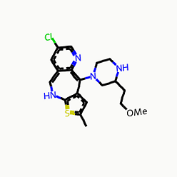 COCCC1CN(C2=c3ncc(Cl)cc3=CNc3sc(C)cc32)CCN1